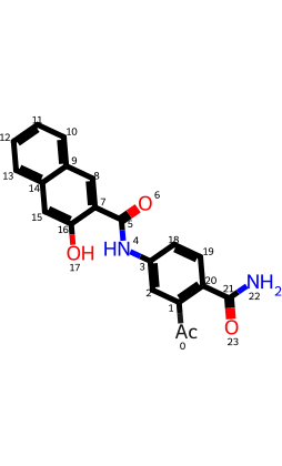 CC(=O)c1cc(NC(=O)c2cc3ccccc3cc2O)ccc1C(N)=O